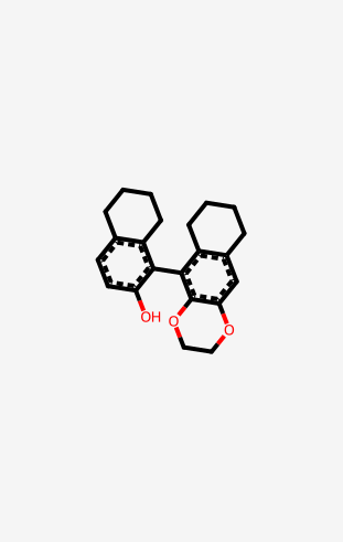 Oc1ccc2c(c1-c1c3c(cc4c1OCCO4)CCCC3)CCCC2